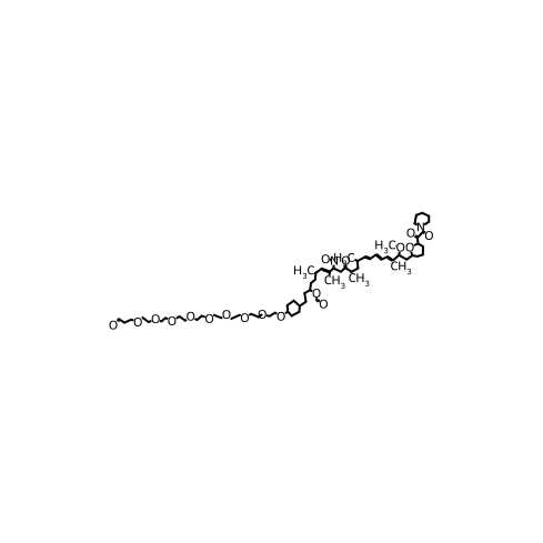 COC(CC1CCCC(C(=O)C(=O)N2CCCCC2)O1)/C(C)=C/C=C/C=C/C(C)CC(C)C(=O)CC(N=O)/C(C)=C/C(C)CCC(CCC1CCC(OCCOCCOCCOCCOCCOCCOCCOCCOCCC=O)CC1)OC=O